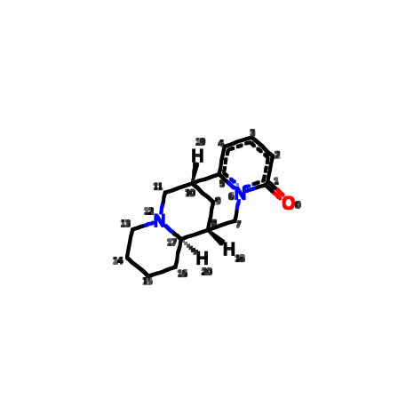 O=c1cccc2n1C[C@H]1C[C@@H]2CN2CCCC[C@H]12